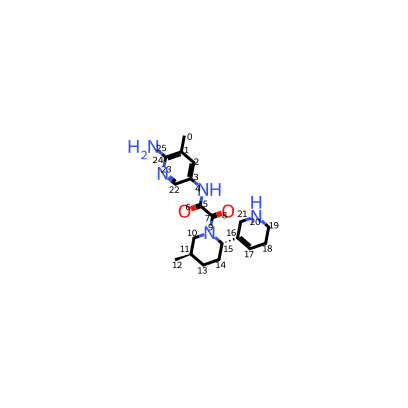 Cc1cc(NC(=O)C(=O)N2C[C@H](C)CC[C@H]2C2=CCCNC2)cnc1N